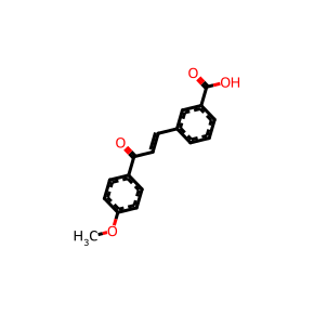 COc1ccc(C(=O)C=Cc2cccc(C(=O)O)c2)cc1